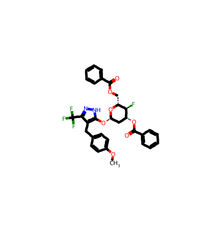 COc1ccc(Cc2c(C(F)(F)F)n[nH]c2O[C@H]2C[C@@H](OC(=O)c3ccccc3)[C@H](F)[C@@H](COC(=O)c3ccccc3)O2)cc1